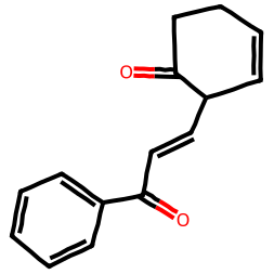 O=C(C=CC1C=CCCC1=O)c1ccccc1